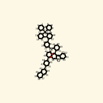 c1ccc(C2(c3ccccc3)c3ccccc3-c3c(-c4cccc(N(c5ccc(-c6ccc(-c7ccc8ccccc8c7)cc6)cc5)c5ccccc5-c5cccc6oc7ccccc7c56)c4)cccc32)cc1